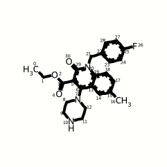 CCOC(=O)c1c(N2CCNCC2)c2cc(C)ccc2n(Cc2ccc(F)cc2)c1=O